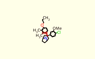 C=CCOc1ccc(CN2C3CCC2CC(O)(c2ccc(Cl)c(OC)c2)C3)c(C)c1C